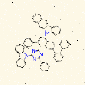 c1ccc(-c2nc(-c3c(-c4ccccc4)cc(-n4c5ccccc5c5cc6ccccc6cc54)c4ccc(-c5ccccc5-c5ccccc5)cc34)nc(-n3c4ccccc4c4ccccc43)n2)cc1